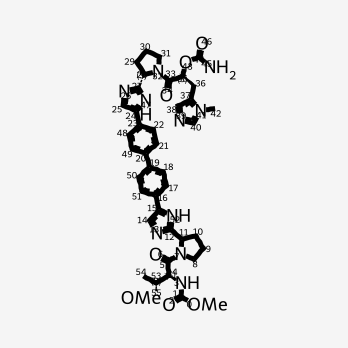 COC(=O)N[C@H](C(=O)N1CCCC1c1ncc(-c2ccc(-c3ccc(-c4cnc([C@@H]5CCCN5C(=O)[C@H](Cc5cncn5C)OC(N)=O)[nH]4)cc3)cc2)[nH]1)[C@@H](C)OC